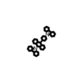 c1ccc2c(-n3c4ccccc4c4ccccc43)c3ccccc3c(-c3ccc(-n4c5ccccc5c5ccccc54)cc3)c2c1